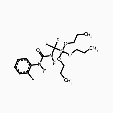 CCCO[Si](OCCC)(OCCC)C(F)(F)N(F)C(=O)N(F)c1ccccc1F